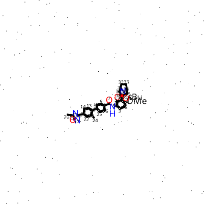 COc1ccc(NC(=O)c2ccc(-c3ccc(-c4noc(C)n4)cc3C)cc2)cc1C1CC2CCC(C1)N2C(=O)OC(C)(C)C